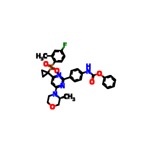 Cc1cc(F)ccc1S(=O)(=O)C1(c2cc(N3CCOC[C@@H]3C)nc(-c3ccc(NC(=O)Oc4ccccc4)cc3)n2)CC1